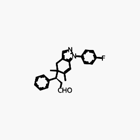 CC1=Cc2c(cnn2-c2ccc(F)cc2)CC1(C)[C@@H](CC=O)c1ccccc1